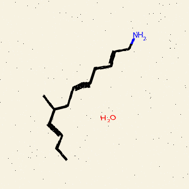 CCC=CC(C)CC=CCC=CCN.O